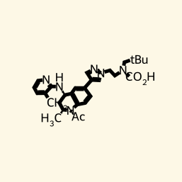 CC(=O)N1c2ccc(-c3cnn(CCN(CC(C)(C)C)C(=O)O)c3)cc2[C@H](Nc2ncccc2C)C[C@@H]1C